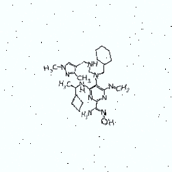 C=Nc1nc(/C(N)=N/O)nc(N[C@H](C)C2CCC2)c1N(CNCc1cn(C)nc1C)CC1CCCCC1